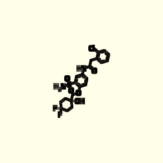 NS(=O)(=O)c1cc(NC(=O)Cc2ccccc2Cl)ccc1OCC1(O)CCC(F)(F)CC1